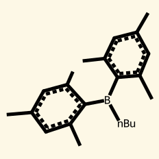 CCCCB(c1c(C)cc(C)cc1C)c1c(C)cc(C)cc1C